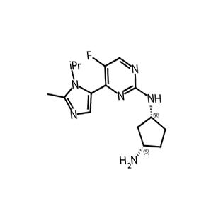 Cc1ncc(-c2nc(N[C@@H]3CC[C@H](N)C3)ncc2F)n1C(C)C